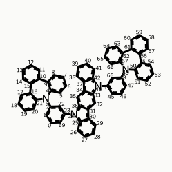 c1cc(N2c3ccccc3-c3ccccc3-c3ccccc32)cc(-n2c3ccccc3c3cc4c(cc32)c2ccccc2n4-c2cccc(N3c4ccccc4-c4ccccc4-c4ccccc43)c2)c1